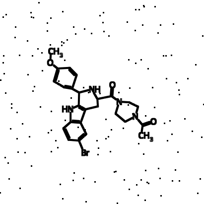 COc1ccc(C2NC(C(=O)N3CCN(C(C)=O)CC3)Cc3c2[nH]c2ccc(Br)cc32)cc1